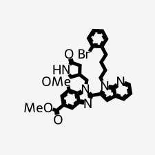 COC(=O)c1cc(OC)c2c(c1)nc(-c1cc3cccnc3n1CCCCc1ccccc1Br)n2CC1CNC(=O)C1